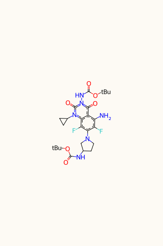 CC(C)(C)OC(=O)NC1CCN(c2c(F)c(N)c3c(=O)n(NC(=O)OC(C)(C)C)c(=O)n(C4CC4)c3c2F)C1